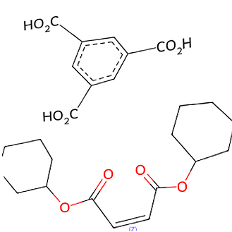 O=C(/C=C\C(=O)OC1CCCCC1)OC1CCCCC1.O=C(O)c1cc(C(=O)O)cc(C(=O)O)c1